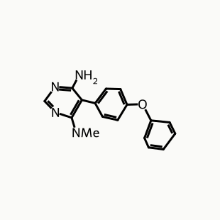 CNc1ncnc(N)c1-c1ccc(Oc2ccccc2)cc1